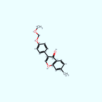 COCOc1ccc(-c2coc3cc(C)ccc3c2=O)cc1